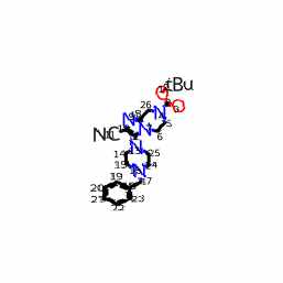 CC(C)(C)OC(=O)N1CCn2c(nc(C#N)c2N2CCN(Cc3ccccc3)CC2)C1